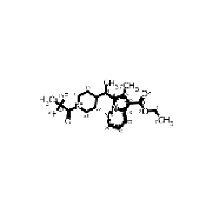 CCOC(=O)c1c(C)c(C(C)C2CCN(C(=O)C(C)(F)F)CC2)n2ncccc12